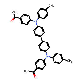 CC(=O)c1ccc(N(c2ccc(C)cc2)c2ccc(-c3ccc(N(c4ccc(C)cc4)c4ccc(C(C)=O)cc4)cc3)cc2)cc1